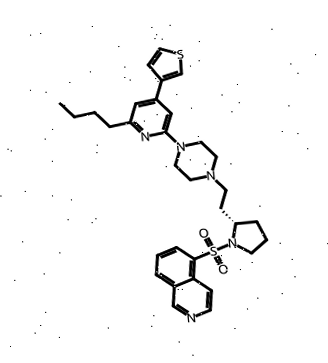 CCCCc1cc(-c2ccsc2)cc(N2CCN(CC[C@@H]3CCCN3S(=O)(=O)c3cccc4cnccc34)CC2)n1